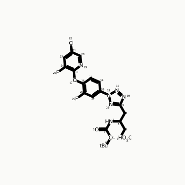 CC(C)(C)OC(=O)NC(CC(=O)O)Cc1nnn(-c2ccc(Oc3ncc(Cl)cc3F)c(F)c2)n1